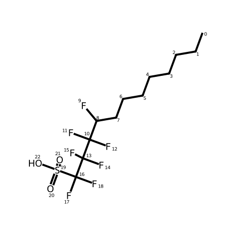 CCCCCCCCC(F)C(F)(F)C(F)(F)C(F)(F)S(=O)(=O)O